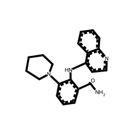 NC(=O)c1cccc(N2CCCCC2)c1Nc1ccnc2ccccc12